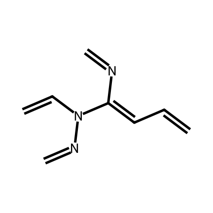 C=C/C=C(\N=C)N(C=C)N=C